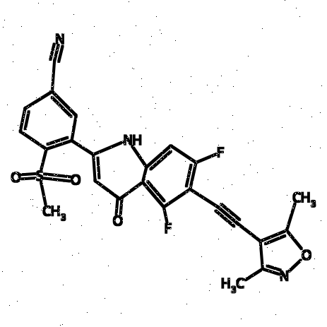 Cc1noc(C)c1C#Cc1c(F)cc2[nH]c(-c3cc(C#N)ccc3S(C)(=O)=O)cc(=O)c2c1F